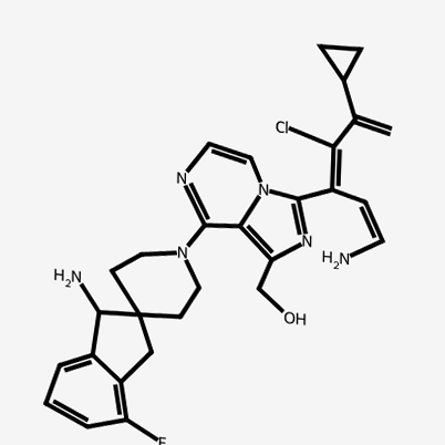 C=C(/C(Cl)=C(\C=C/N)c1nc(CO)c2c(N3CCC4(CC3)Cc3c(F)cccc3C4N)nccn12)C1CC1